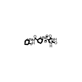 O=C(NNc1ccccc1F)c1cccc(NS(=O)(=O)c2c[nH]c(=O)[nH]c2=O)c1